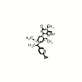 CC[C@H]1CN(C(C)c2ccc(C3CC3)nc2)[C@H](CC)CN1c1nc(=O)n(C)c2c[nH]nc12